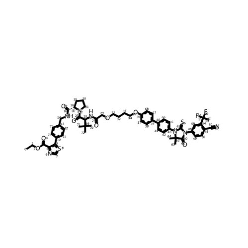 CCOC(=O)c1ncsc1-c1ccc(CNC(=O)[C@@H]2CCCN2C(=O)C(NC(=O)COCCCCOc2ccc(-c3ccc(N4C(=S)N(c5ccc(C#N)c(C(F)(F)F)c5)C(=O)C4(C)C)cc3)cc2)C(C)(C)C)cc1